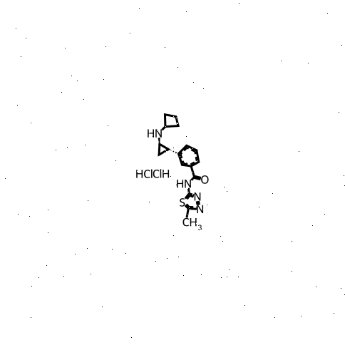 Cc1nnc(NC(=O)c2cccc([C@@H]3C[C@H]3NC3CCC3)c2)s1.Cl.Cl